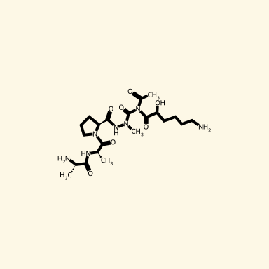 CC(=O)N(C(=O)C(O)CCCCN)C(=O)N(C)NC(=O)[C@@H]1CCCN1C(=O)[C@H](C)NC(=O)[C@H](C)N